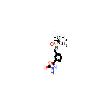 CC(C)(C)[S@+]([O-])/N=C/c1cccc(-c2n[nH]c(=O)o2)c1